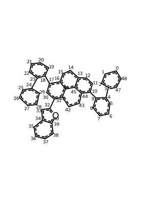 c1ccc(-c2ccccc2-c2ccc3ccc4c(-c5ccccc5-c5ccccc5)cc(-c5cc6ccccc6o5)c5ccc2c3c54)cc1